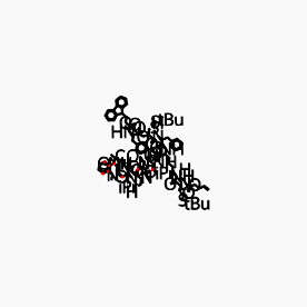 C=CCOC(=O)N[C@@H](CSSC(C)(C)C)C(=O)NCCCCC(NC(=O)C(Cc1ccccc1)NC(=O)C(CSSC(C)(C)C)OC(=O)C(Cc1ccccc1)NC(=O)OCC1c2ccccc2-c2ccccc21)C(=O)NC(CC(C)C)C(=O)N(C)C(C)C(=O)N(C)C(CC(C)C)C(=O)NC(C)C(=O)N(C)C(Cc1ccccc1)C(=O)N(C)C(C)C(=O)NC(C)C(=O)O